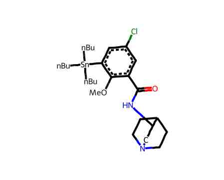 CCC[CH2][Sn]([CH2]CCC)([CH2]CCC)[c]1cc(Cl)cc(C(=O)NC2CN3CCC2CC3)c1OC